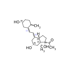 C=C1CC[C@@H](O)C/C1=C/C=C1\C[C@@H](O)C[C@@]2(C)[C@H]1CC[C@@]2(O)C(C)=O